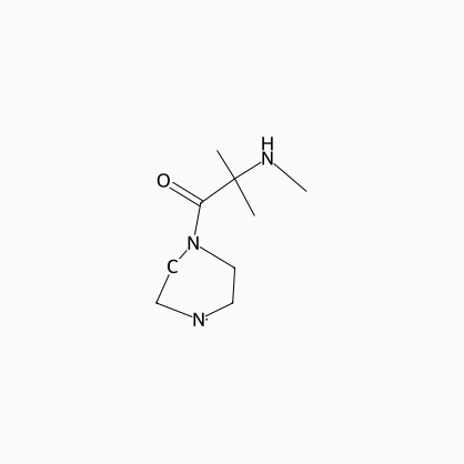 CNC(C)(C)C(=O)N1CC[N]CC1